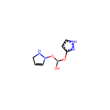 OB(Oc1cc[nH]n1)ON1C=CCN1